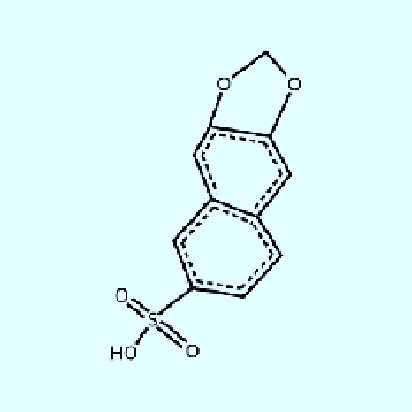 O=S(=O)(O)c1ccc2cc3c(cc2c1)OCO3